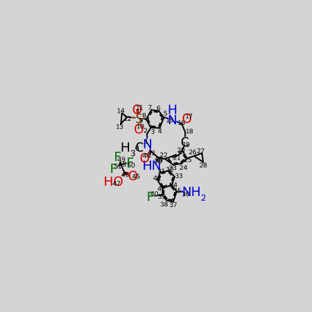 CN1Cc2cc(ccc2S(=O)(=O)C2CC2)NC(=O)CCc2cc(ccc2C2CC2)[C@@H](Nc2ccc3c(N)ccc(F)c3c2)C1=O.O=C(O)C(F)(F)F